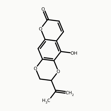 C=C(C)C1COc2cc3oc(=O)ccc3c(O)c2O1